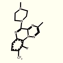 CC1=C=NN2C(=N1)C(N1CCN(C)CC1)=Nc1ccc(C(F)(F)F)c(F)c12